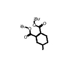 CCC(C)OC(=O)C1CCC(C)CC1C(=O)OC(C)CC